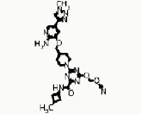 CC1CC(NC(=O)c2nc(OCOC#N)nc(N3CCC(COc4cc(-c5cn(C)nn5)cnc4N)CC3)n2)C1